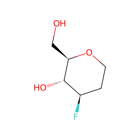 OC[C@H]1OCC[C@@H](F)[C@@H]1O